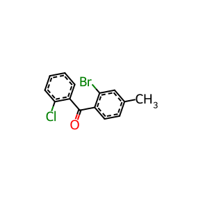 Cc1ccc(C(=O)c2ccccc2Cl)c(Br)c1